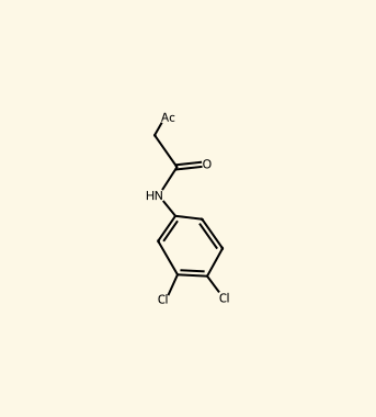 CC(=O)CC(=O)Nc1ccc(Cl)c(Cl)c1